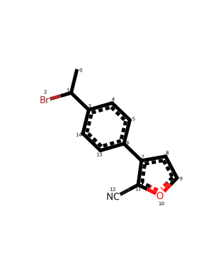 CC(Br)c1ccc(-c2ccoc2C#N)cc1